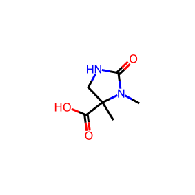 CN1C(=O)NCC1(C)C(=O)O